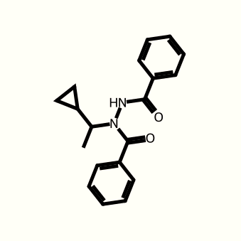 CC(C1CC1)N(NC(=O)c1ccccc1)C(=O)c1ccccc1